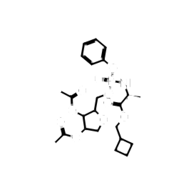 CC(=O)OC1COC(COP(=O)(N[C@@H](C)C(=O)OCC2CCC2)Oc2ccccc2)C1OC(C)=O